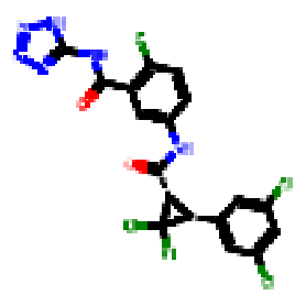 O=C(Nc1nnn[nH]1)c1cc(NC(=O)[C@@H]2[C@@H](c3cc(Cl)cc(Cl)c3)C2(Cl)Cl)ccc1Cl